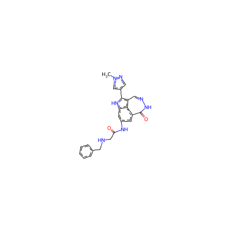 Cn1cc(-c2[nH]c3cc(NC(=O)CNCc4ccccc4)cc4c3c2C=NNC4=O)cn1